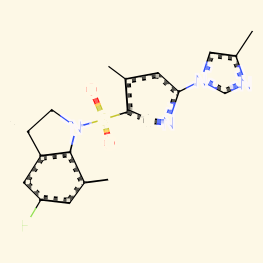 Cc1cn(-c2cc(C)c(S(=O)(=O)N3C[C@@H](C)c4cc(F)cc(C)c43)cn2)cn1